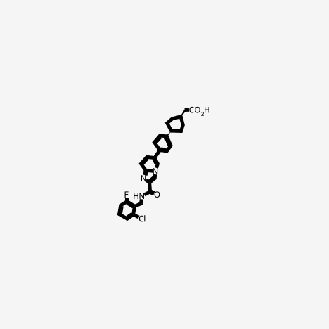 O=C(O)C[C@H]1CC[C@H](c2ccc(-c3ccc4nc(C(=O)NCc5c(F)cccc5Cl)cn4c3)cc2)CC1